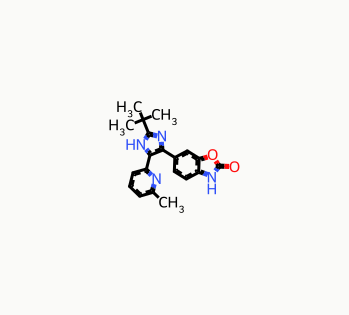 Cc1cccc(-c2[nH]c(C(C)(C)C)nc2-c2ccc3[nH]c(=O)oc3c2)n1